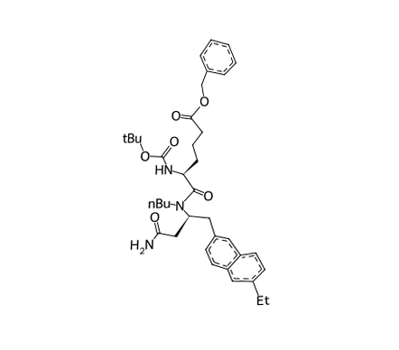 CCCCN(C(=O)[C@H](CCCC(=O)OCc1ccccc1)NC(=O)OC(C)(C)C)[C@H](CC(N)=O)Cc1ccc2cc(CC)ccc2c1